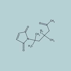 CC(=O)CC(C)(C)CC(C)(C)N1C(=O)C=CC1=O